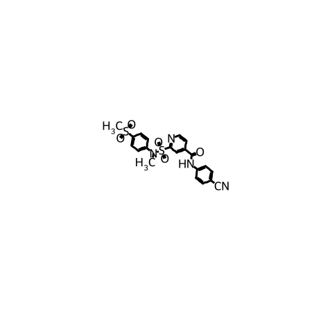 CN(c1ccc(S(C)(=O)=O)cc1)S(=O)(=O)c1cc(C(=O)Nc2ccc(C#N)cc2)ccn1